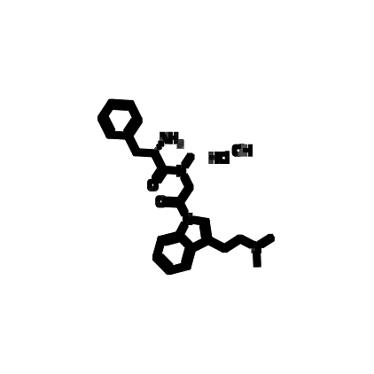 CN(C)CCc1cn(C(=O)CN(C)C(=O)[C@@H](N)Cc2ccccc2)c2ccccc12.Cl.Cl